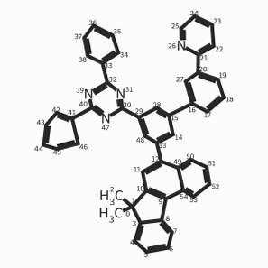 CC1(C)c2ccccc2-c2c1cc(-c1cc(-c3cccc(-c4ccccn4)c3)cc(-c3nc(-c4ccccc4)nc(-c4ccccc4)n3)c1)c1ccccc21